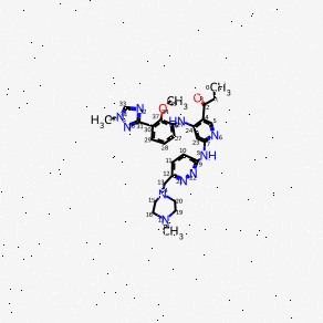 CCC(=O)c1cnc(Nc2ccc(CN3CCN(C)CC3)nn2)cc1Nc1cccc(-c2ncn(C)n2)c1OC